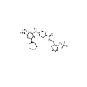 CNc1nc(NC2CCC(C(=O)NCc3ccccc3OC(F)(F)F)CC2)nc(N2CCCCCC2)n1